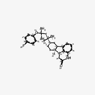 BC(B)(CC(B)(B)N1CC[C@H]2C(C1)c1cccc3c1N2CC(=O)N3)Oc1ccc(F)cc1